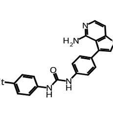 CCc1ccc(NC(=O)Nc2ccc(-c3csc4ccnc(N)c34)cc2)cc1